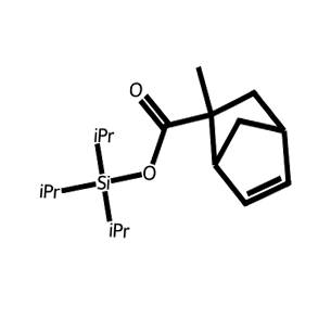 CC(C)[Si](OC(=O)C1(C)CC2C=CC1C2)(C(C)C)C(C)C